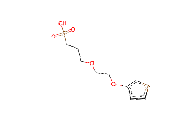 O=S(=O)(O)CCCOCCOc1ccsc1